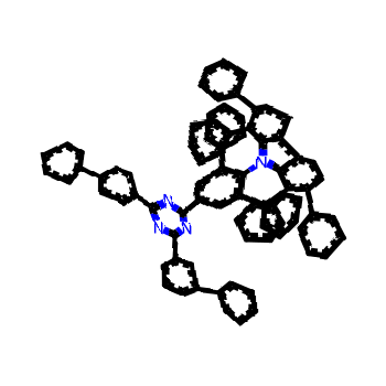 c1ccc(-c2ccc(-c3nc(-c4cccc(-c5ccccc5)c4)nc(-c4cc(-c5ccccc5)c(-n5c6c(-c7ccccc7)c(-c7ccccc7)ccc6c6ccc(-c7ccccc7)c(-c7ccccc7)c65)c(-c5ccccc5)c4)n3)cc2)cc1